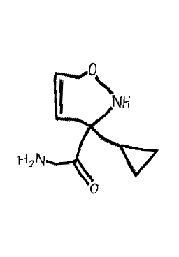 NC(=O)C1(C2CC2)C=CON1